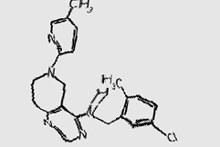 Cc1ccc(N2CCc3ncnc(NCc4cc(Cl)ccc4C)c3C2)nc1